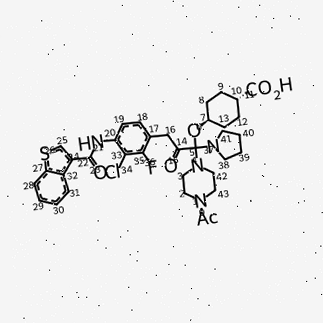 CC(=O)N1CCN(C(O[C@H]2CC[C@H](C(=O)O)CC2)(C(=O)Cc2ccc(NC(=O)c3csc4ccccc34)c(Cl)c2F)N2CCCC2)CC1